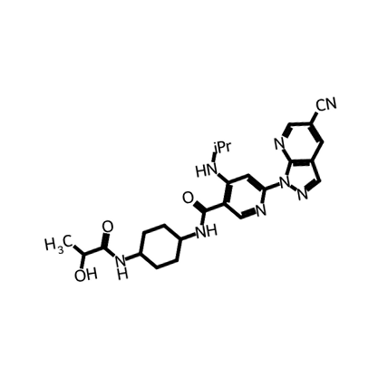 CC(C)Nc1cc(-n2ncc3cc(C#N)cnc32)ncc1C(=O)NC1CCC(NC(=O)C(C)O)CC1